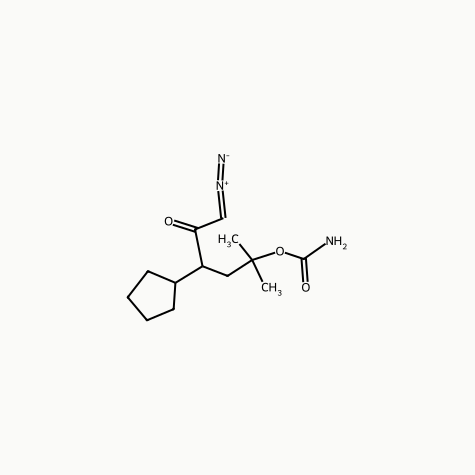 CC(C)(CC(C(=O)C=[N+]=[N-])C1CCCC1)OC(N)=O